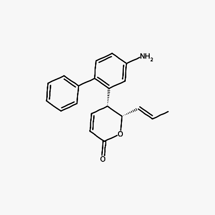 C/C=C/[C@@H]1OC(=O)C=C[C@@H]1c1cc(N)ccc1-c1ccccc1